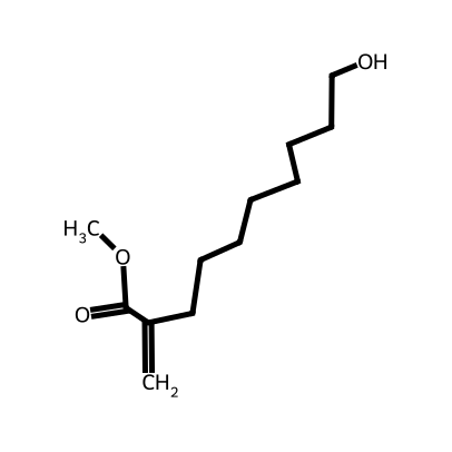 C=C(CCCCCCCCO)C(=O)OC